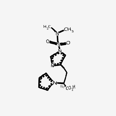 CN(C)S(=O)(=O)n1cnc(C[C@@H](C(=O)O)n2cccc2)c1